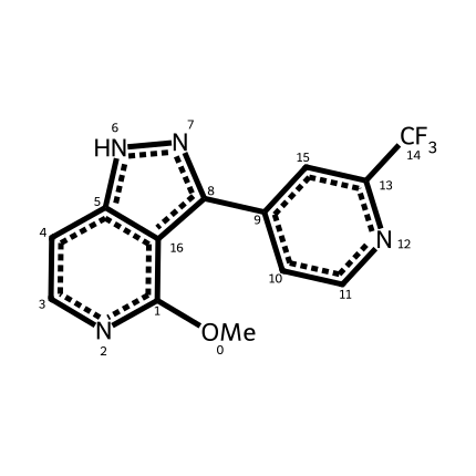 COc1nccc2[nH]nc(-c3ccnc(C(F)(F)F)c3)c12